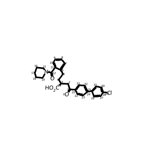 O=C(CC(CCc1ccccc1C(=O)N1CCCCC1)C(=O)O)c1ccc(-c2ccc(Cl)cc2)cc1